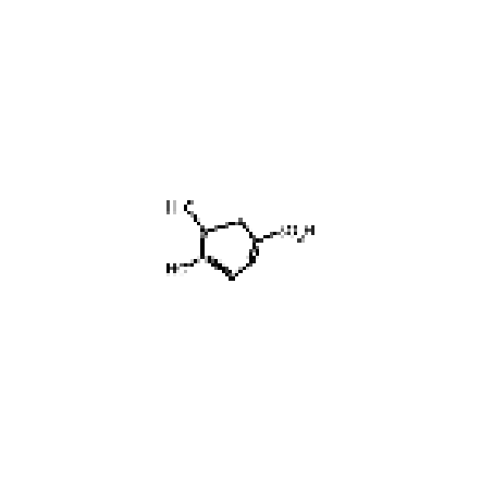 CC1CC(S(=O)(=O)O)=CC=C1O